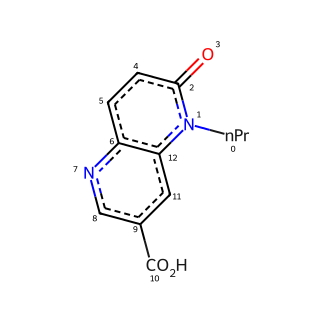 CCCn1c(=O)ccc2ncc(C(=O)O)cc21